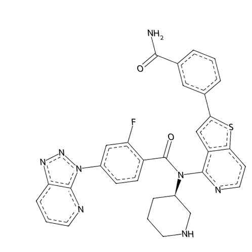 NC(=O)c1cccc(-c2cc3c(N(C(=O)c4ccc(-n5nnc6cccnc65)cc4F)[C@@H]4CCCNC4)nccc3s2)c1